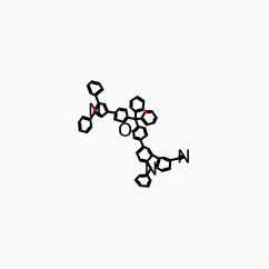 N#Cc1ccc2c(c1)c1cc(-c3ccc4c(c3)Oc3cc(-c5cc(-c6ccccc6)nc(-c6ccccc6)c5)ccc3C4(c3ccccc3)c3ccccc3)ccc1n2-c1ccccc1